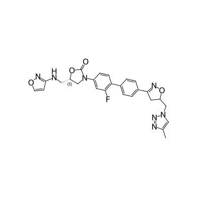 Cc1cn(CC2CC(c3ccc(-c4ccc(N5C[C@H](CNc6ccon6)OC5=O)cc4F)cc3)=NO2)nn1